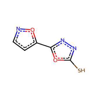 Sc1nnc(-c2ccno2)o1